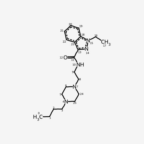 CCCCN1CCN(CCNC(=O)c2nn(CC)c3ccccc23)CC1